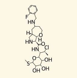 CSC1OC([C@H](NC(=O)[C@H]2NC[C@@H]3CC(NCc4ccccc4F)CCO[C@H]32)[C@H](C)Cl)C(O)C(O)C1O